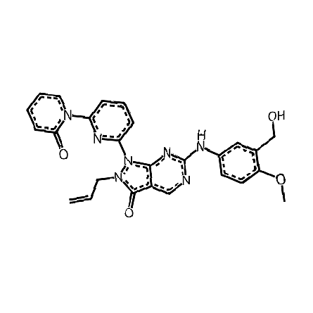 C=CCn1c(=O)c2cnc(Nc3ccc(OC)c(CO)c3)nc2n1-c1cccc(-n2ccccc2=O)n1